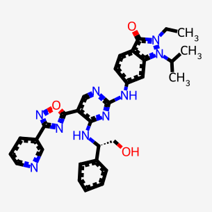 CCn1c(=O)c2ccc(Nc3ncc(-c4nc(-c5cccnc5)no4)c(N[C@H](CO)c4ccccc4)n3)cc2n1C(C)C